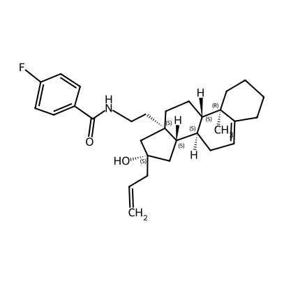 C=CC[C@]1(O)C[C@H]2[C@@H]3CC=C4CCCC[C@]4(C)[C@H]3CC[C@]2(CCNC(=O)c2ccc(F)cc2)C1